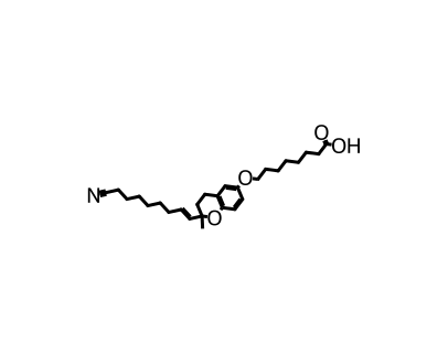 CC1(C=CCCCCCCC#N)CCc2cc(OCCCCCCCC(=O)O)ccc2O1